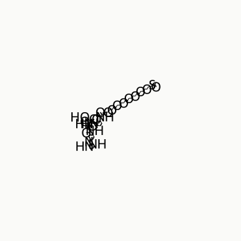 CCC(NC(=O)CCOCOCCOCCOCCOCCOCCOCCOCCSC(C)=O)Oc1ccccc1NC(=O)C(CC(=O)O)NC(=O)CNC(=O)c1cccc(N=C2NC=CCN2)c1